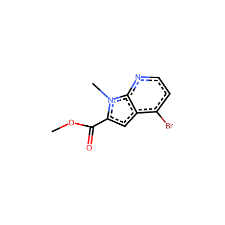 COC(=O)c1cc2c(Br)ccnc2n1C